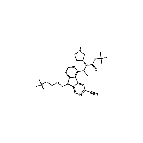 CC(c1ccnc2c1c1cc(C#N)ncc1n2COCC[Si](C)(C)C)N(C(=O)OC(C)(C)C)[C@H]1CCNC1